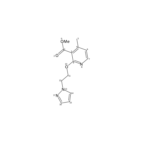 COC(=O)c1c(C)ccnc1OCCn1cccn1